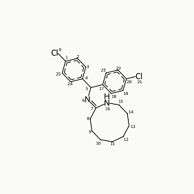 Clc1ccc(C(/N=C2/CCCCCCCCN2)c2ccc(Cl)cc2)cc1